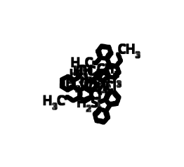 CCCc1ccc2c(c1-c1ccccc1CC)C=C(C(C)(C)C)[CH]2[Zr]([Cl])([Cl])([c]1cccc2c1[SiH2]c1ccccc1-2)[CH]1C(C(C)(C)C)=Cc2c1ccc(CCC)c2-c1ccccc1CC